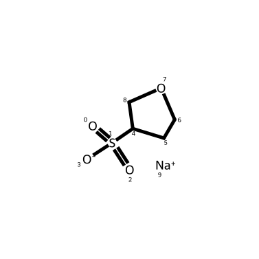 O=S(=O)([O-])C1CCOC1.[Na+]